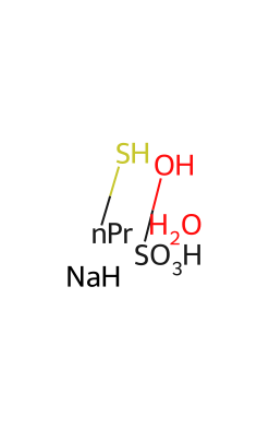 CCCS.O.O=S(=O)(O)O.[NaH]